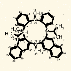 CC(C)P1c2ccccc2N(C)c2ccccc2[PH](C)(C(C)C)c2cc3ccccc3cc2N(C)c2cc3ccccc3cc21